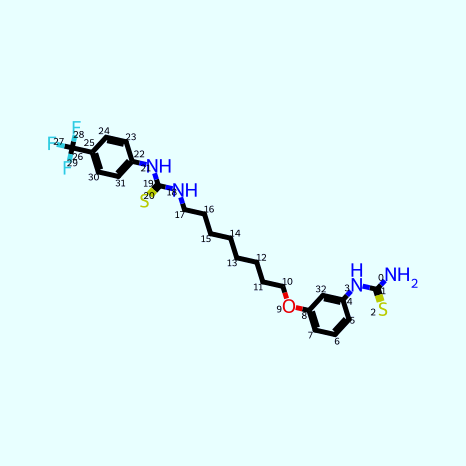 NC(=S)Nc1cccc(OCCCCCCCCNC(=S)Nc2ccc(C(F)(F)F)cc2)c1